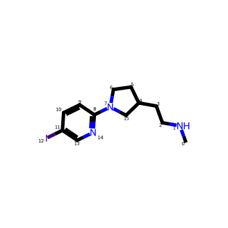 CNCCC1CCN(c2ccc(I)cn2)C1